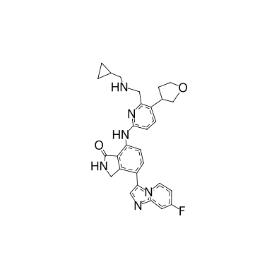 O=C1NCc2c(-c3cnc4cc(F)ccn34)ccc(Nc3ccc(C4CCOC4)c(CNCC4CC4)n3)c21